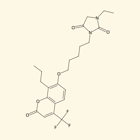 CCCc1c(OCCCCCN2C(=O)CN(CC)C2=O)ccc2c(C(F)(F)F)cc(=O)oc12